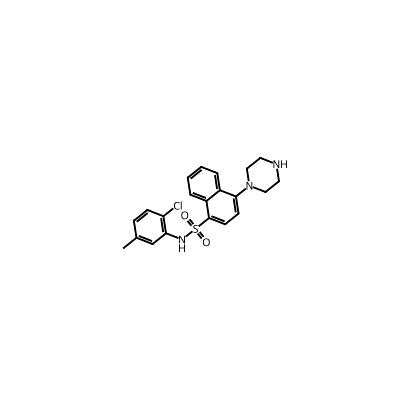 Cc1ccc(Cl)c(NS(=O)(=O)c2ccc(N3CCNCC3)c3ccccc23)c1